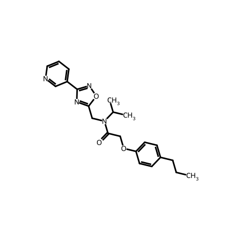 CCCc1ccc(OCC(=O)N(Cc2nc(-c3cccnc3)no2)C(C)C)cc1